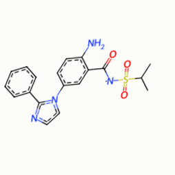 CC(C)S(=O)(=O)[N]C(=O)c1cc(-n2ccnc2-c2ccccc2)ccc1N